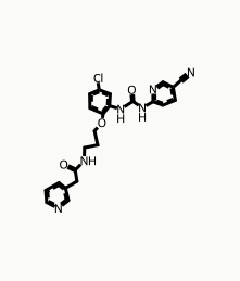 N#Cc1ccc(NC(=O)Nc2cc(Cl)ccc2OCCCNC(=O)Cc2cccnc2)nc1